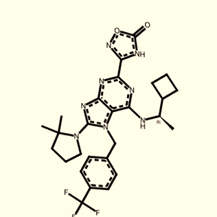 C[C@@H](Nc1nc(-c2noc(=O)[nH]2)nc2nc(N3CCCC3(C)C)n(Cc3ccc(C(F)(F)F)cc3)c12)C1CCC1